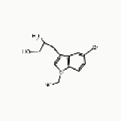 CC(CO)Cc1cn(CC#N)c2ccc(Br)cc12